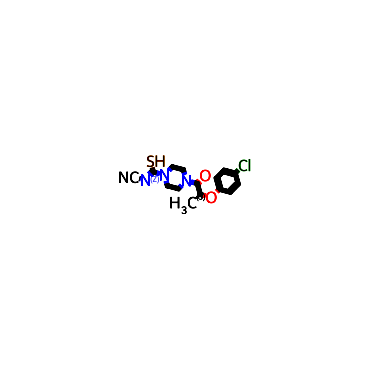 C[C@H](Oc1ccc(Cl)cc1)C(=O)N1CCN(/C(S)=N/C#N)CC1